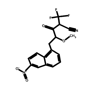 COC(Cc1cccc2cc([N+](=O)[O-])ccc12)C(=O)C(C#N)C(F)(F)F